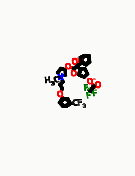 C[N+]1(CCCOc2cccc(C(F)(F)F)c2)CCC(OC(=O)C(O)(c2ccccc2)C2CCCC2)C1.O=C([O-])C(F)(F)F